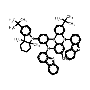 Cc1cc2c3c(c1)N(c1cccc4sc5ccccc5c14)c1cc(C(C)(C)C)ccc1B3c1ccc(N3c4ccc(C(C)(C)C)cc4C4(C)CCCCC34C)cc1N2c1cccc2c1sc1ccccc12